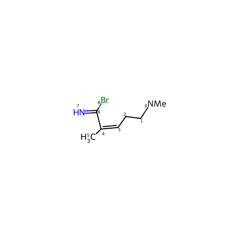 CNCC/C=C(/C)C(=N)Br